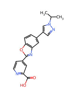 CC(C)n1cc(-c2ccc3oc(-c4ccnc(C(=O)O)c4)nc3c2)cn1